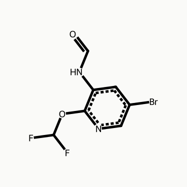 O=CNc1cc(Br)cnc1OC(F)F